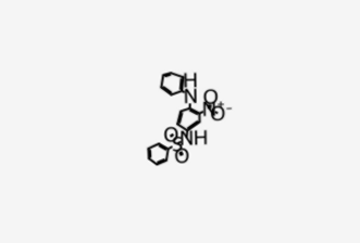 O=[N+]([O-])c1cc(NS(=O)(=O)c2ccccc2)ccc1Nc1ccccc1